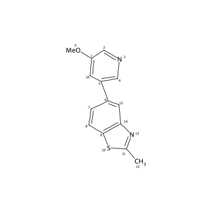 COc1cncc(-c2ccc3sc(C)nc3c2)c1